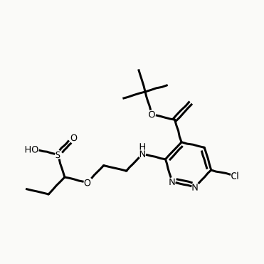 C=C(OC(C)(C)C)c1cc(Cl)nnc1NCCOC(CC)S(=O)O